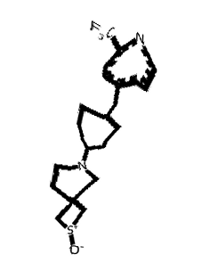 [O-][S+]1CC2(CCN(C3CCC(c4ccnc(C(F)(F)F)c4)CC3)C2)C1